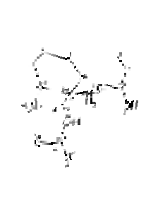 CCC(=O)O.N[C@@H]1CCCC[C@]1(N)[Pt].O=[N+]([O-])O